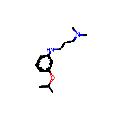 CC(C)Oc1cccc(NCCCN(C)C)c1